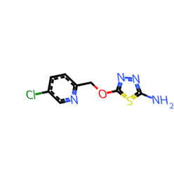 Nc1nnc(OCc2ccc(Cl)cn2)s1